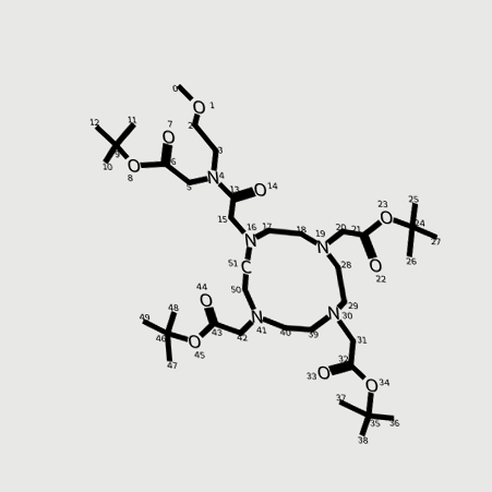 COCCN(CC(=O)OC(C)(C)C)C(=O)CN1CCN(CC(=O)OC(C)(C)C)CCN(CC(=O)OC(C)(C)C)CCN(CC(=O)OC(C)(C)C)CC1